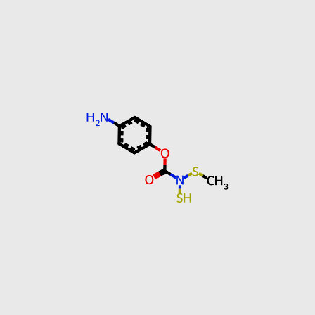 CSN(S)C(=O)Oc1ccc(N)cc1